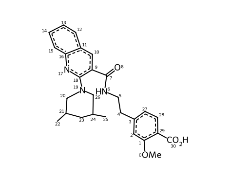 COc1cc(CCNC(=O)c2cc3ccccc3nc2N2CC(C)CC(C)C2)ccc1C(=O)O